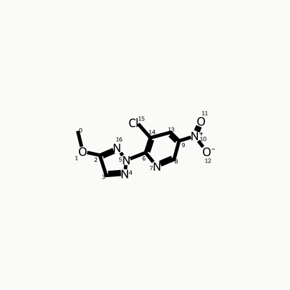 COc1cnn(-c2ncc([N+](=O)[O-])cc2Cl)n1